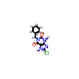 Cn1c(Cl)nc2c1c(=O)n(Cc1ccccc1)c(=O)n2C